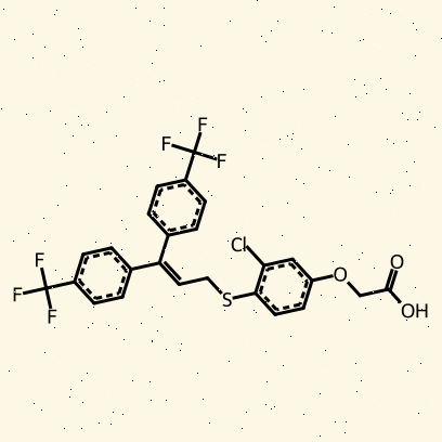 O=C(O)COc1ccc(SCC=C(c2ccc(C(F)(F)F)cc2)c2ccc(C(F)(F)F)cc2)c(Cl)c1